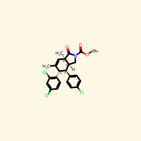 CC1=C[C@@]2(C)C(=O)N(C(=O)OC(C)(C)C)C[C@H]2[C@@H](c2ccc(Cl)cc2)[C@@H]1c1ccc(Cl)cc1Cl